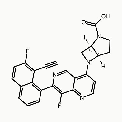 C#Cc1c(F)ccc2cccc(-c3ncc4c(N5C[C@@H]6[C@H]5CCN6C(=O)O)ccnc4c3F)c12